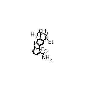 CCN1CCC(C)(C)c2ccc(C3(F)NC=CC=C3C(N)=O)cc21